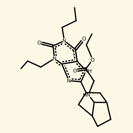 CCCn1c(=O)c2[nH]c(C3CC4CCC(C3)C4NCC(=O)OCC)nc2n(CCC)c1=O